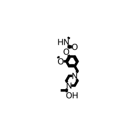 CNC(=O)Oc1ccc(CN2CCN(C(C)O)CC2)cc1OC